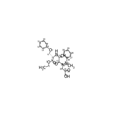 CCOC(=O)[C@H](COc1ccccc1)NC(C)C(=O)N(CC(=O)O)N(C)c1ccccc1